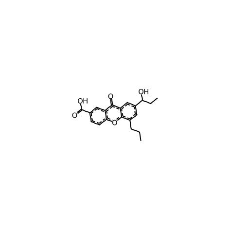 CCCc1cc(C(O)CC)cc2c(=O)c3cc(C(=O)O)ccc3oc12